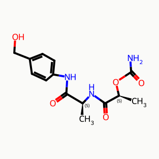 C[C@H](NC(=O)[C@H](C)OC(N)=O)C(=O)Nc1ccc(CO)cc1